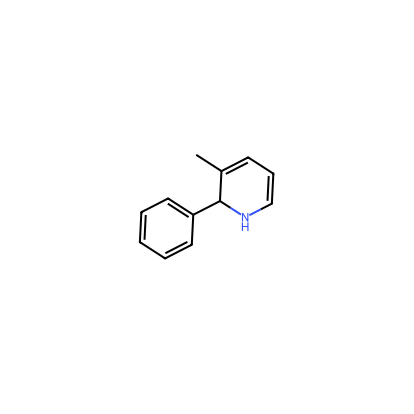 CC1=CC=CNC1c1ccccc1